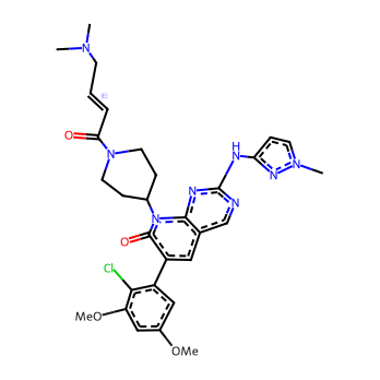 COc1cc(OC)c(Cl)c(-c2cc3cnc(Nc4ccn(C)n4)nc3n(C3CCN(C(=O)/C=C/CN(C)C)CC3)c2=O)c1